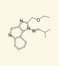 CCOCc1nc2cnc3ccccc3c2n1N=CC(C)C